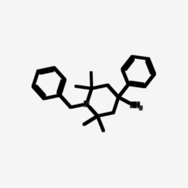 CC1(C)CC(N)(c2ccccc2)CC(C)(C)N1Cc1ccccc1